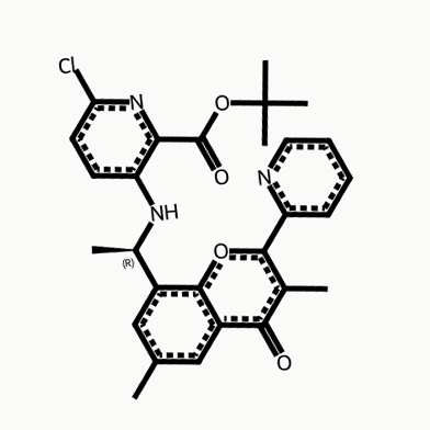 Cc1cc([C@@H](C)Nc2ccc(Cl)nc2C(=O)OC(C)(C)C)c2oc(-c3ccccn3)c(C)c(=O)c2c1